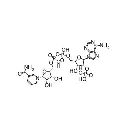 NC(=O)C1=CN([C@@H]2O[C@H](COP(=O)(O)OP(=O)(O)OC[C@H]3O[C@@H](n4cnc5c(N)ncnc54)[C@H](OP(=O)(O)O)[C@@H]3O)[C@H](O)[C@H]2O)CC=C1